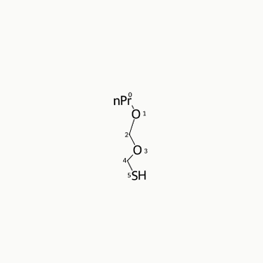 CCCOCOCS